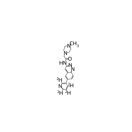 [2H]c1nc([2H])c(-c2ccc3nnc(NC(=O)CN4CCN(C)CC4)cc3c2)c([2H])c1[2H]